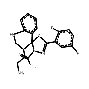 CC(=O)N1N=C(c2cc(F)ccc2F)OC12c1ccccc1NCC2CCN